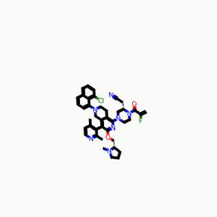 C=C(F)C(=O)N1CCN(c2nc(OC[C@@H]3CCCN3C)c(-c3c(C)ccnc3C)c3c2CCN(c2cccc4cccc(Cl)c24)C3)C[C@@H]1CC#N